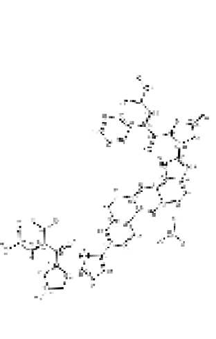 COC(=O)N[C@@H](C(=O)N1C[C@@H](C)C[C@H]1c1nc2ccc3cc4c(cc3c2[nH]1)OCc1cc(-c2cnc([C@@H]3C[C@H](C)CN3C(=O)[C@@H](NC(=O)O)C(C)C)[nH]2)ccc1-4)c1ccccc1.C[C](C)C